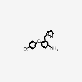 CCc1ccc(Oc2ccc(N)cc2Cn2cccn2)cc1